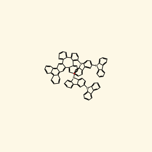 c1ccc2c(c1)-c1cc3c4ccccc4c4ccccc4c3cc1-c1cc(-n3c4ccccc4c4cc(-n5c6ccccc6c6ccccc65)ccc43)ccc1-c1c-2cccc1-n1c2ccccc2c2cc(-n3c4ccccc4c4ccccc43)ccc21